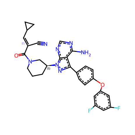 N#C/C(=C\C1CC1)C(=O)N1CCC[C@H](n2nc(-c3ccc(Oc4cc(F)cc(F)c4)cc3)c3c(N)ncnc32)C1